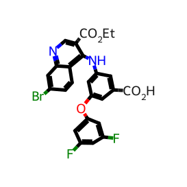 CCOC(=O)c1cnc2cc(Br)ccc2c1Nc1cc(Oc2cc(F)cc(F)c2)cc(C(=O)O)c1